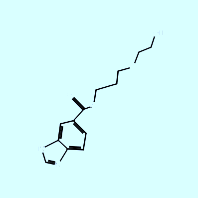 O=C(NCCCOCCO)c1ccc2nc[nH]c2c1